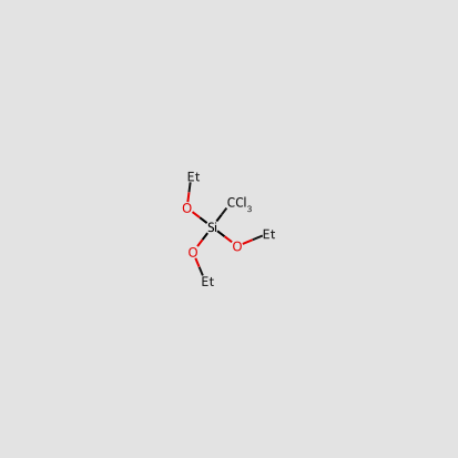 CCO[Si](OCC)(OCC)C(Cl)(Cl)Cl